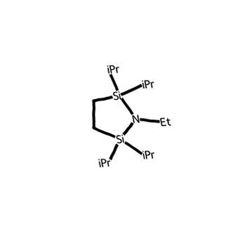 CCN1[Si](C(C)C)(C(C)C)CC[Si]1(C(C)C)C(C)C